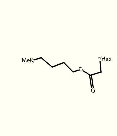 CCCCCCCC(=O)OCCCCNC